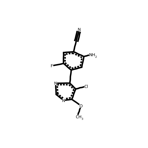 COc1ncnc(-c2cc(N)c(C#N)cc2F)c1Cl